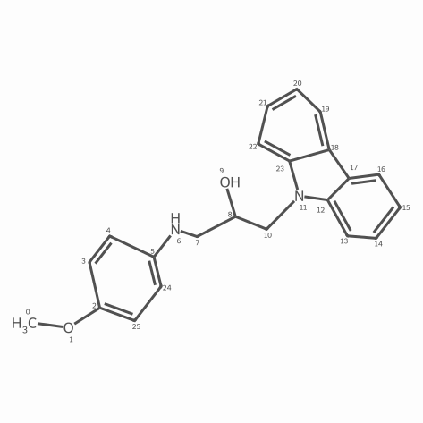 COc1ccc(NCC(O)Cn2c3ccccc3c3ccccc32)cc1